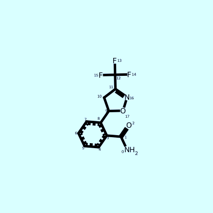 NC(=O)c1ccccc1C1CC(C(F)(F)F)=NO1